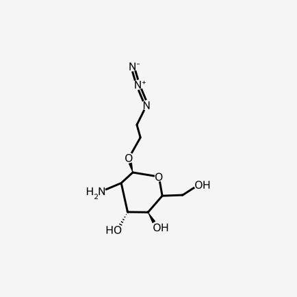 [N-]=[N+]=NCCO[C@H]1OC(CO)[C@@H](O)[C@H](O)C1N